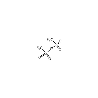 O=[S](=O)([Ni][S](=O)(=O)C(F)(F)F)C(F)(F)F